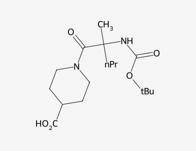 CCCC(C)(NC(=O)OC(C)(C)C)C(=O)N1CCC(C(=O)O)CC1